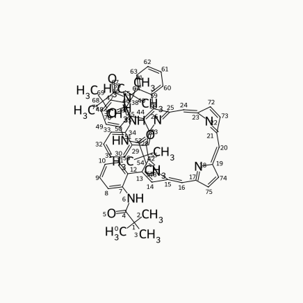 CC(C)(C)C(=O)Nc1ccccc1C1=CC2=CC3=NC(=CC4=NC(=CC5=NC(=C(c6ccccc6NC(=O)C(C)(C)C)C1=N2)C(c1ccccc1NC(=O)C(C)(C)C)=C5c1ccccc1NC(=O)C(C)(C)C)C=C4)C=C3